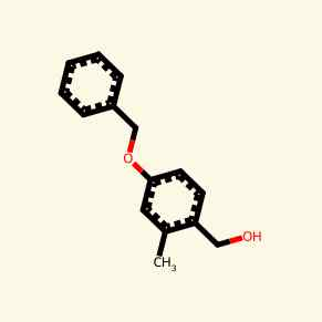 Cc1cc(OCc2c[c]ccc2)ccc1CO